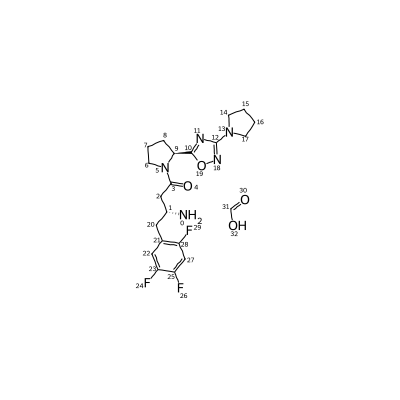 N[C@@H](CC(=O)N1CCC[C@H]1c1nc(N2CCCC2)no1)Cc1cc(F)c(F)cc1F.O=CO